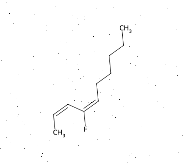 C/C=C\C(F)=C/CCCCC